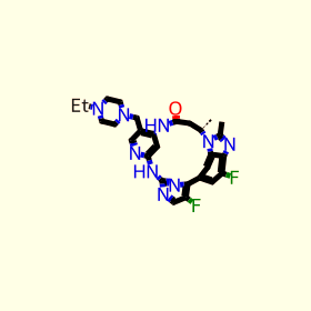 CCN1CCN(Cc2cnc3cc2NC(=O)C[C@H](C)n2c(C)nc4c(F)cc(cc42)-c2nc(ncc2F)N3)CC1